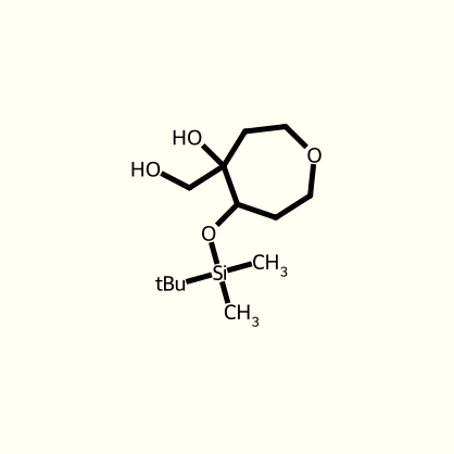 CC(C)(C)[Si](C)(C)OC1CCOCCC1(O)CO